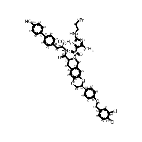 Cc1nc(NCCC(C)C)sc1S(=O)(=O)N1Cc2cc3c(cc2CC1C(=O)N[C@@H](Cc1ccc(-c2ccc(C#N)cc2)cc1)C(=O)O)OC[C@H](c1ccc(OCc2ccc(Cl)c(Cl)c2)cc1)O3